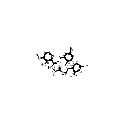 COc1ccnc(C(=O)N[C@@H](C)C(=O)O[C@@H](C)[C@H](Sc2ccc(F)cc2C)c2ccc(F)cc2C)c1O